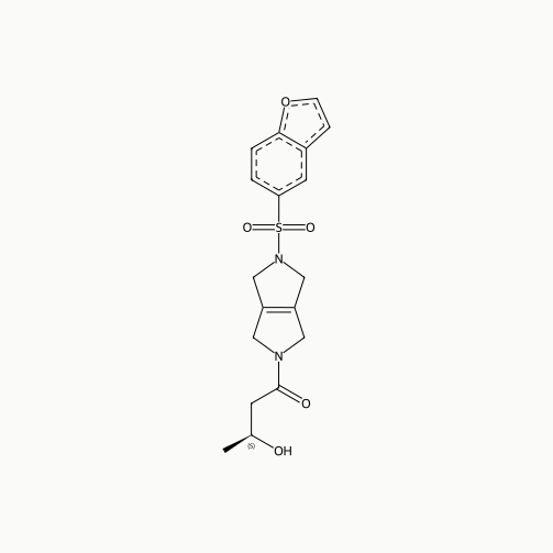 C[C@H](O)CC(=O)N1CC2=C(C1)CN(S(=O)(=O)c1ccc3occc3c1)C2